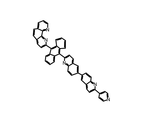 c1cnc2c(c1)ccc1ccc(-c3c4ccccc4c(-c4ccc5cc(-c6ccc7nc(-c8ccncc8)ccc7c6)ccc5n4)c4ccccc34)nc12